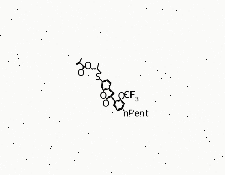 C=C(C)C(=O)OCC(C)CSc1ccc2cc(-c3ccc(CCCCC)cc3OC(F)(F)F)c(=O)oc2c1